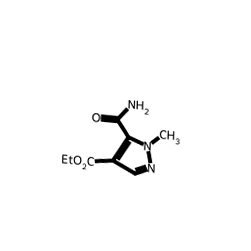 CCOC(=O)c1cnn(C)c1C(N)=O